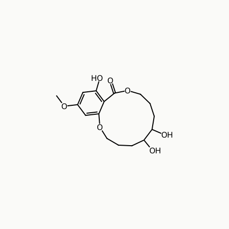 COc1cc(O)c2c(c1)OCCCC(O)C(O)CCCOC2=O